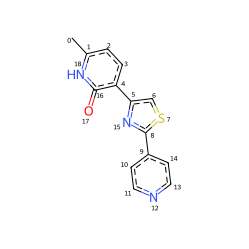 Cc1ccc(-c2csc(-c3ccncc3)n2)c(=O)[nH]1